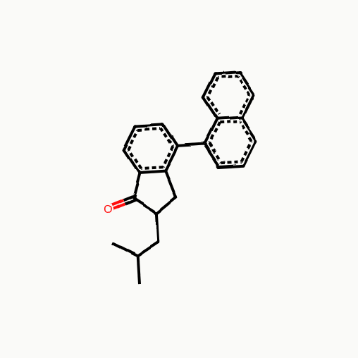 CC(C)CC1Cc2c(cccc2-c2cccc3ccccc23)C1=O